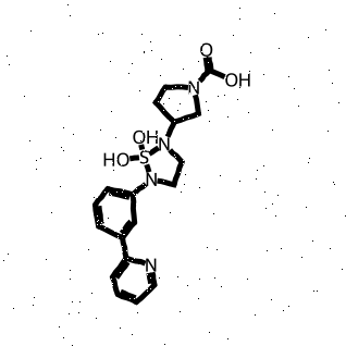 O=C(O)N1CCC(N2CCN(c3cccc(-c4ccccn4)c3)S2(O)O)C1